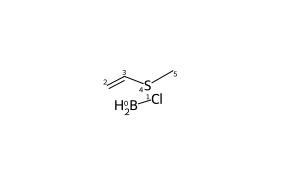 BCl.C=CSC